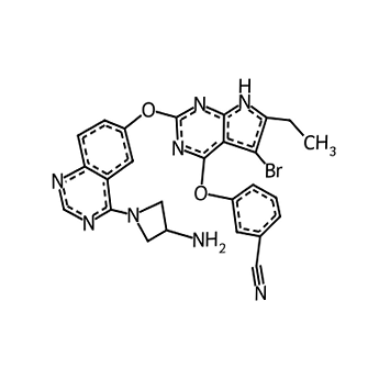 CCc1[nH]c2nc(Oc3ccc4ncnc(N5CC(N)C5)c4c3)nc(Oc3cccc(C#N)c3)c2c1Br